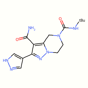 CC(C)(C)NC(=O)N1CCn2nc(-c3cn[nH]c3)c(C(N)=O)c2C1